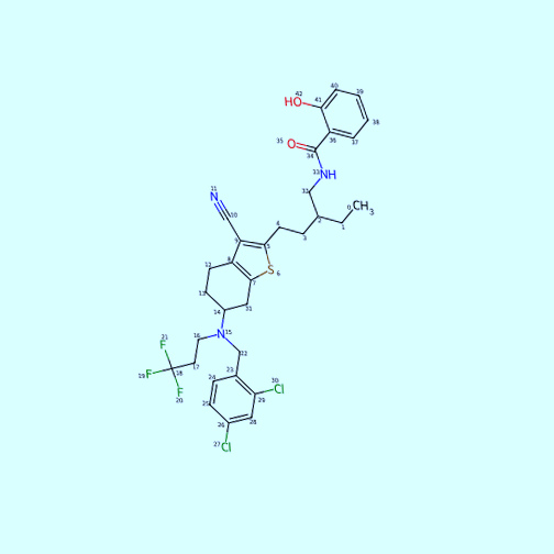 CCC(CCc1sc2c(c1C#N)CCC(N(CCC(F)(F)F)Cc1ccc(Cl)cc1Cl)C2)CNC(=O)c1ccccc1O